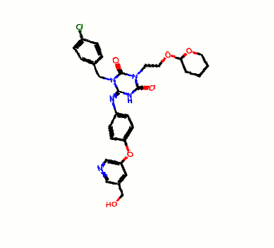 O=c1[nH]/c(=N\c2ccc(Oc3cncc(CO)c3)cc2)n(Cc2ccc(Cl)cc2)c(=O)n1CCOC1CCCCO1